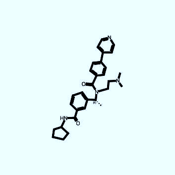 C[C@H](c1cccc(C(=O)NC2CCCC2)c1)N(CCN(C)C)C(=O)c1ccc(-c2ccncc2)cc1